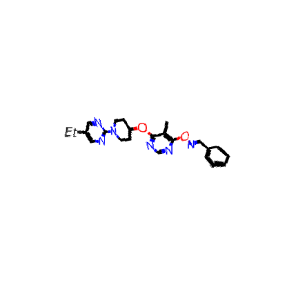 CCc1cnc(N2CCC(Oc3ncnc(ON=Cc4ccccc4)c3C)CC2)nc1